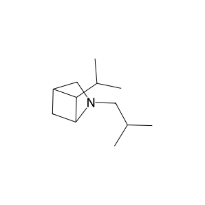 CC(C)CN1CC2CC1C2C(C)C